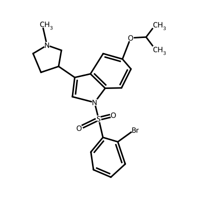 CC(C)Oc1ccc2c(c1)c(C1CCN(C)C1)cn2S(=O)(=O)c1ccccc1Br